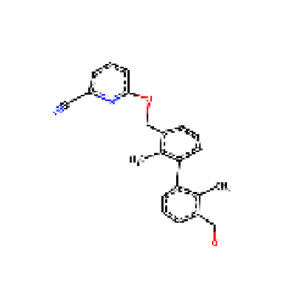 Cc1c(CO)cccc1-c1cccc(COc2cccc(C#N)n2)c1C